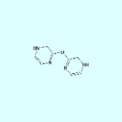 C1=CNCC(OC2=NC=CNC2)=N1